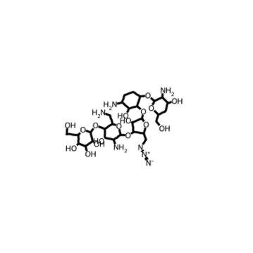 [N-]=[N+]=NCC1OC(OC2C(OC3OC(CO)CC(O)C3N)CCC(N)C2O)C(O)C1OC1OC(CN)C(OC2OC(CO)C(O)C(O)C2O)C(O)C1N